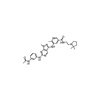 CC(=O)Nc1cccc(Nc2ncc3c(Nc4cc(C(=O)NCCN5CCCC5(C)C)cnc4C)nn(C)c3n2)c1